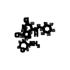 N[C@H]1COCC[C@@H]1c1sc2c(NCc3ccccc3)cc(Cl)nc2c1Cl